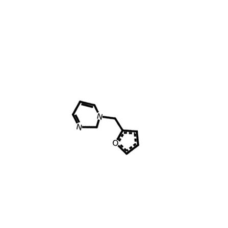 C1=CN(Cc2ccco2)CN=C1